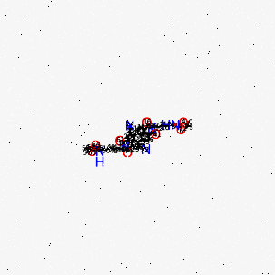 CC(C)(C)OC(=O)NCCCCCCN1C(=O)c2ccc3c4c(C#N)cc5c6c(cc(C#N)c(c7ccc(c2c37)C1=O)c64)C(=O)N(CCCCCCNC(=O)OC(C)(C)C)C5=O